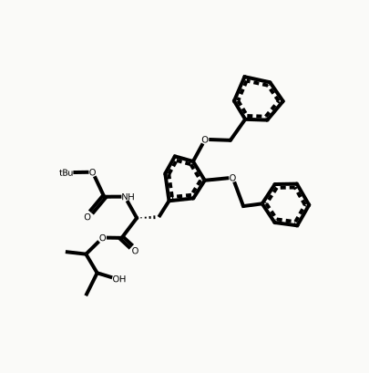 CC(O)C(C)OC(=O)[C@@H](Cc1ccc(OCc2ccccc2)c(OCc2ccccc2)c1)NC(=O)OC(C)(C)C